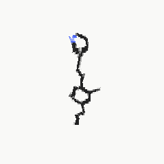 C=CCc1ccc(CCc2cccnc2)c(C)c1